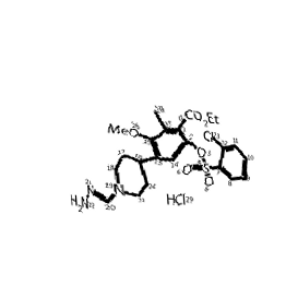 CCOC(=O)c1c(OS(=O)(=O)c2ccccc2Cl)cc(C2CCN(C=NN)CC2)c(OC)c1C.Cl